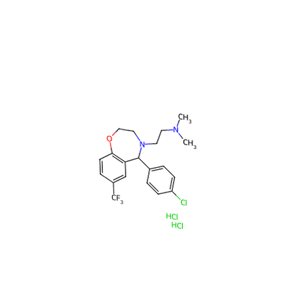 CN(C)CCN1CCOc2ccc(C(F)(F)F)cc2C1c1ccc(Cl)cc1.Cl.Cl